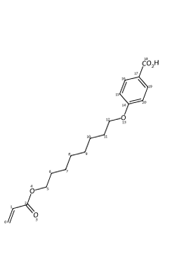 C=CC(=O)OCCCCCCCCOc1ccc(C(=O)O)cc1